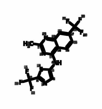 Cc1nc(Nc2cnc(C(F)(F)F)s2)c2ccc(C(F)(F)F)cc2n1